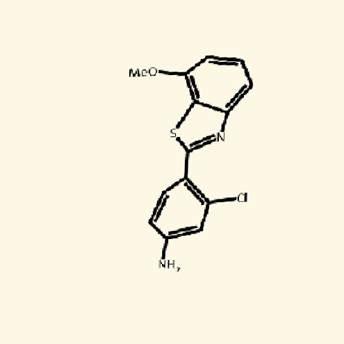 COc1cccc2nc(-c3ccc(N)cc3Cl)sc12